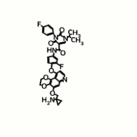 CC(C)n1cc(C(=O)Nc2ccc(Oc3ccnc4cc(OCC5(N)CC5)c5c(c34)OCCO5)c(F)c2)c(=O)n(-c2ccc(F)cc2)c1=O